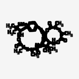 CSC(C)(C)C1NOC(=O)N(C)SN(C)C(=O)Oc2ccc(c3c2C(C(C)(C)SC)NOC(=O)N(C)SN(C)C(=O)O3)-c2ccc1cc2